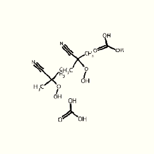 CC(C)(C#N)OO.CC(C)(C#N)OO.O=C(O)O.O=C(O)O